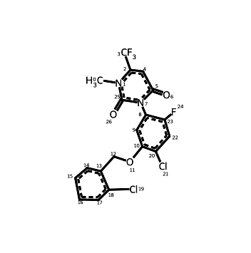 Cn1c(C(F)(F)F)cc(=O)n(-c2cc(OCc3ccccc3Cl)c(Cl)cc2F)c1=O